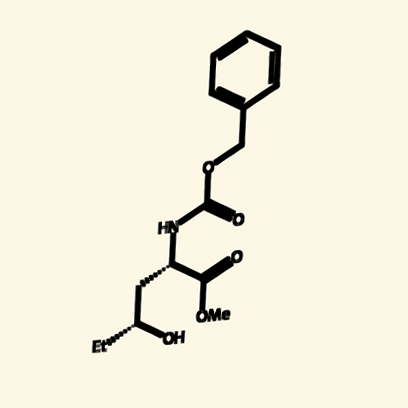 CC[C@@H](O)C[C@H](NC(=O)OCc1ccccc1)C(=O)OC